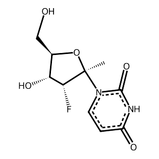 C[C@@]1(n2ccc(=O)[nH]c2=O)O[C@H](CO)[C@@H](O)[C@H]1F